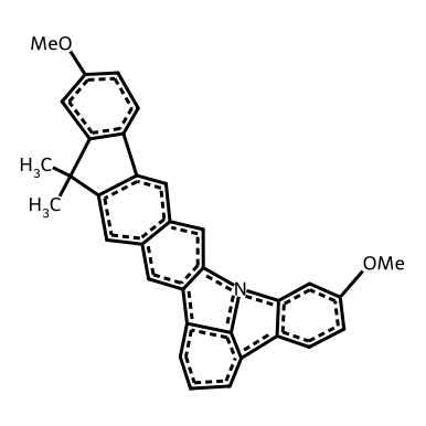 COc1ccc2c(c1)C(C)(C)c1cc3cc4c5cccc6c7ccc(OC)cc7n(c4cc3cc1-2)c65